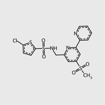 CS(=O)(=O)c1cc(CNS(=O)(=O)c2ccc(Cl)s2)nc(-c2ccccn2)c1